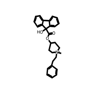 C[N+]1(CCc2ccccc2)CCC(OC(=O)C2(O)c3ccccc3-c3ccccc32)CC1